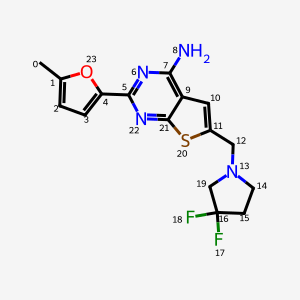 Cc1ccc(-c2nc(N)c3cc(CN4CCC(F)(F)C4)sc3n2)o1